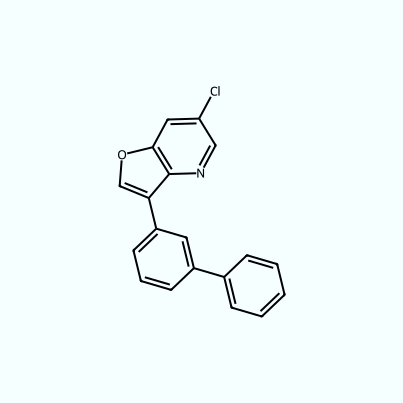 Clc1cnc2c(-c3cccc(-c4ccccc4)c3)coc2c1